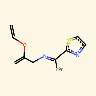 C=COC(=C)C/N=C(\CCC)c1nccs1